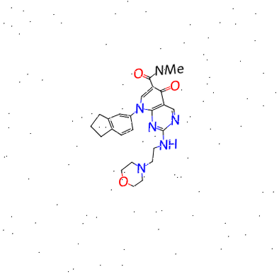 CNC(=O)c1cn(-c2ccc3c(c2)CCC3)c2nc(NCCN3CCOCC3)ncc2c1=O